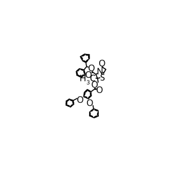 CC1(COC(=O)c2ccc(OCc3ccccc3)c(OCc3ccccc3)c2)SC2CC(=O)N2C1C(=O)OC(c1ccccc1)c1ccccc1